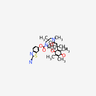 CC1=C(C)C(=O)C(C(C)(C)CC(=O)N(C)CC(C)(C)CN(C)C(=O)Oc2ccc3nc(C#N)sc3c2)=C(C)C1=O